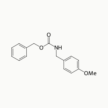 COc1ccc(CNC(=O)OCc2ccccc2)cc1